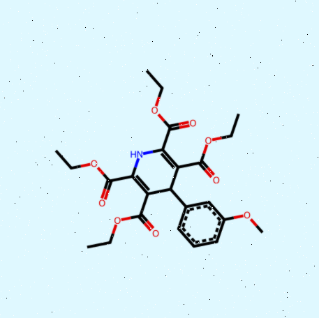 CCOC(=O)C1=C(C(=O)OCC)C(c2cccc(OC)c2)C(C(=O)OCC)=C(C(=O)OCC)N1